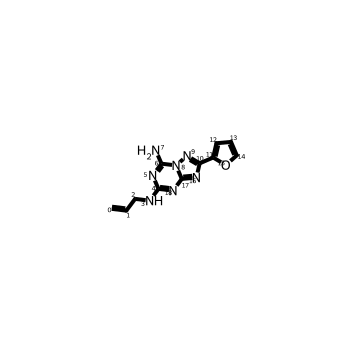 C=CCNc1nc(N)n2nc(-c3ccco3)nc2n1